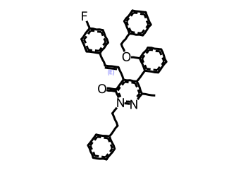 Cc1nn(CCc2ccccc2)c(=O)c(/C=C/c2ccc(F)cc2)c1-c1ccccc1OCc1ccccc1